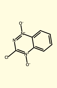 [O-][n+]1nc(Cl)[n+]([O-])c2ccccc21